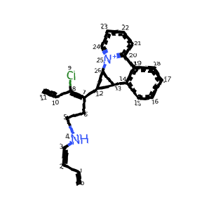 C=C/C=C\NCC/C(=C(/Cl)C=C)C1C2c3ccccc3-c3cccc[n+]3C12